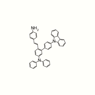 Nc1ccc(/C=C/c2ccc(N(c3ccccc3)c3ccccc3)cc2-c2ccc(-n3c4ccccc4c4ccccc43)cc2)cc1